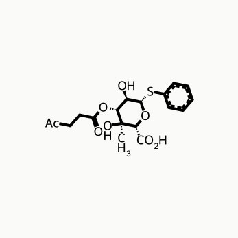 CC(=O)CCC(=O)O[C@@H]1[C@@H](O)[C@H](Sc2ccccc2)O[C@H](C(=O)O)[C@@]1(C)O